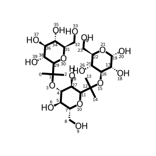 CC(C)(O[C@H]1[C@H](O)[C@@H](CO)OC(C(C)(C)O[C@@H]2[C@@H](O)[C@@H](O)O[C@H](CO)[C@H]2O)[C@@H]1O)C1O[C@H](CO)[C@@H](O)[C@H](O)[C@H]1O